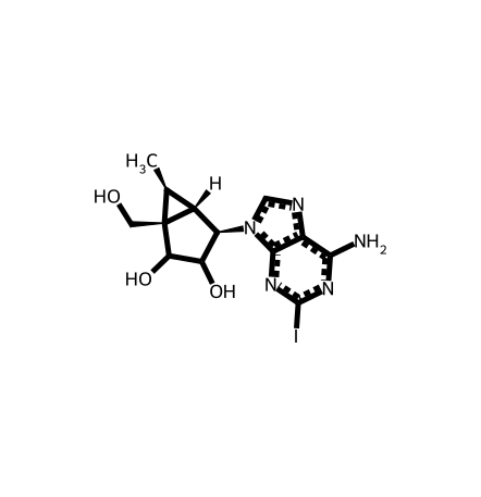 C[C@H]1[C@@H]2[C@@H](n3cnc4c(N)nc(I)nc43)C(O)C(O)[C@@]21CO